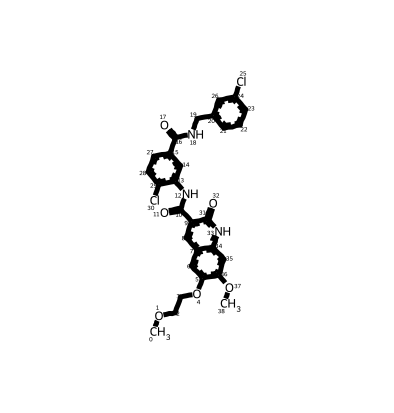 COCCOc1cc2cc(C(=O)Nc3cc(C(=O)NCc4cccc(Cl)c4)ccc3Cl)c(=O)[nH]c2cc1OC